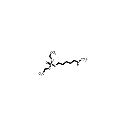 O=C(O)NCCCCCOP(=O)(OCC(Cl)(Cl)Cl)OCC(Cl)(Cl)Cl